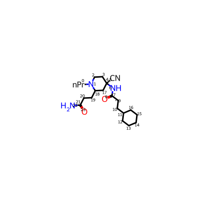 CCCN1CCC(C#N)(NC(=O)[CH]CC2CCCCC2)CC1CCC(N)=O